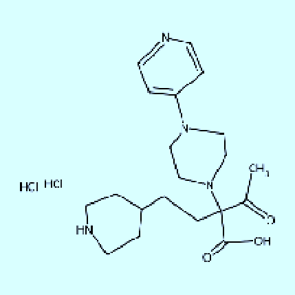 CC(=O)C(CCC1CCNCC1)(C(=O)O)N1CCN(c2ccncc2)CC1.Cl.Cl